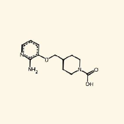 Nc1ncccc1OCC1CCN(C(=O)O)CC1